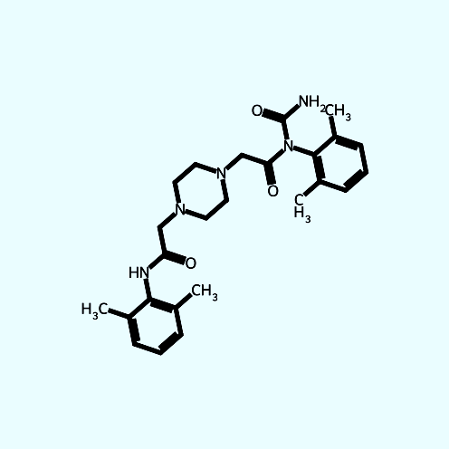 Cc1cccc(C)c1NC(=O)CN1CCN(CC(=O)N(C(N)=O)c2c(C)cccc2C)CC1